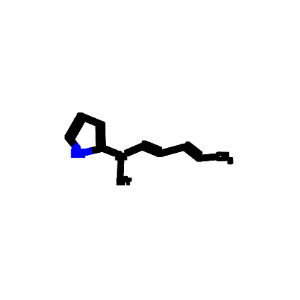 CC=CC=[CH][Ru]([CH2]CC)[c]1ccc[nH]1